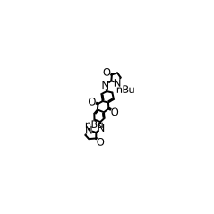 CCCCN1CCC(=O)C1N=C1C=C2C(=O)C3=CCC(=NC4C(=O)CCN4CCCC)C=C3C(=O)C2=CC1